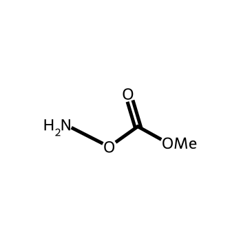 COC(=O)ON